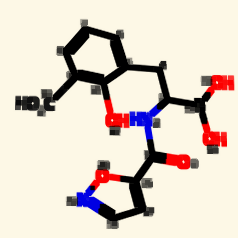 O=C(NC(Cc1cccc(C(=O)O)c1O)B(O)O)c1ccno1